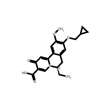 CC[C@@H]1Cc2cc(OCC3CC3)c(OC)cc2-c2cc(=O)c(C(=O)O)cn21